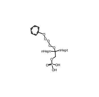 CCCCCCCC(CCCCCCC)(COP(=O)(O)O)OOOOOc1ccccc1